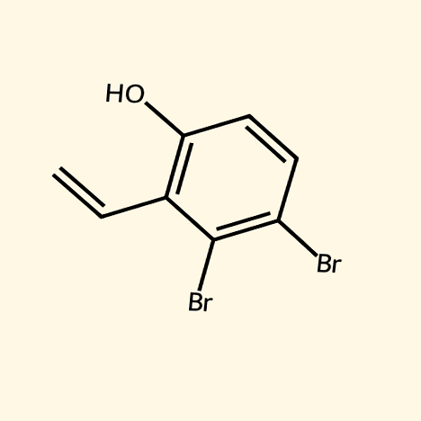 C=Cc1c(O)ccc(Br)c1Br